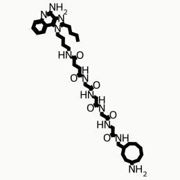 CCCCc1nc2c(N)nc3ccccc3c2n1CCCCNC(=O)CCC(=O)NCC(=O)NCC(=O)NCC(=O)NCC(=O)NCC1CCCCCC(N)CC1